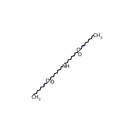 CCCCCC/C=C/COC(=O)CCCCCCCNCCCCCCCC(=O)OC/C=C/CCCCCC